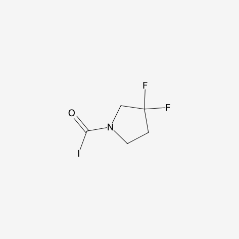 O=C(I)N1CCC(F)(F)C1